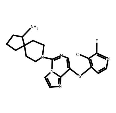 NC1CCCC12CCN(c1ncc(Sc3ccnc(F)c3Cl)c3nccn13)CC2